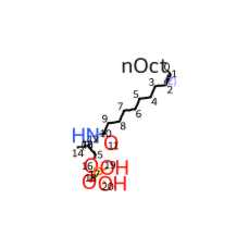 CCCCCCCC/C=C\CCCCCCCC(=O)N[C@H](C)COP(=O)(O)O